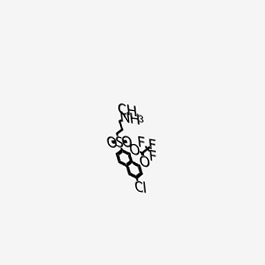 CNCCCS(=O)(=O)c1ccc2cc(Cl)ccc2c1OC(=O)C(F)(F)F